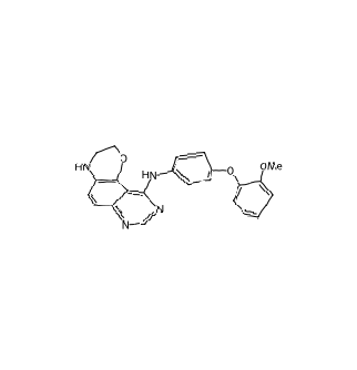 COc1ccccc1Oc1ccc(Nc2ncnc3ccc4c(c23)OCCN4)cc1